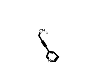 CCC#Cc1c[c]cnc1